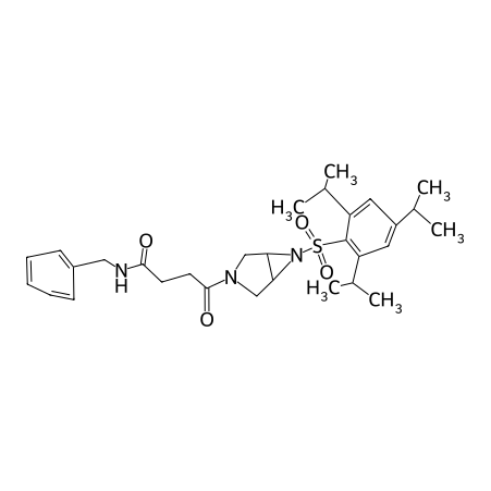 CC(C)c1cc(C(C)C)c(S(=O)(=O)N2C3CN(C(=O)CCC(=O)NCc4ccccc4)CC32)c(C(C)C)c1